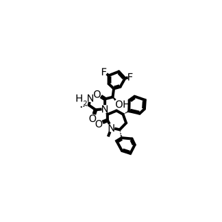 C[C@H](N)C(=O)N(C(=O)[C@H](O)c1cc(F)cc(F)c1)[C@H]1C[C@H](c2ccccc2)C[C@H](c2ccccc2)N(C)C1=O